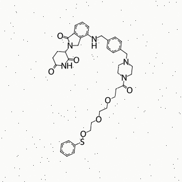 O=C1CCC(N2Cc3c(NCc4ccc(CN5CCN(C(=O)CCOCCOCCOSc6ccccc6)CC5)cc4)cccc3C2=O)C(=O)N1